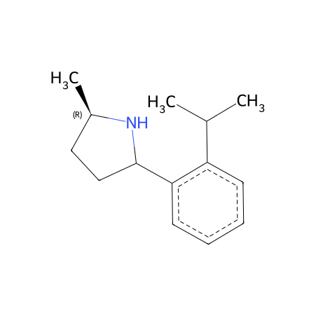 CC(C)c1ccccc1C1CC[C@@H](C)N1